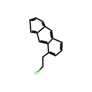 ClCCc1cccc2cc3ccccc3cc12